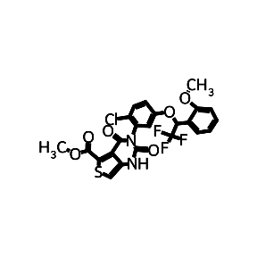 COC(=O)c1scc2[nH]c(=O)n(-c3cc(OC(c4ccccc4OC)C(F)(F)F)ccc3Cl)c(=O)c12